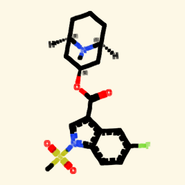 CN1[C@@H]2CCC[C@H]1C[C@@H](OC(=O)c1cn(S(C)(=O)=O)c3ccc(F)cc13)C2